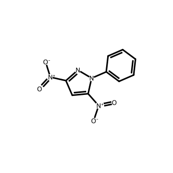 O=[N+]([O-])c1cc([N+](=O)[O-])n(-c2ccccc2)n1